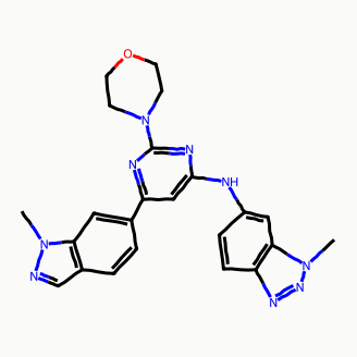 Cn1ncc2ccc(-c3cc(Nc4ccc5nnn(C)c5c4)nc(N4CCOCC4)n3)cc21